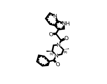 C[C@@H]1CN(C(=O)c2ccccc2)[C@@H](C)CN1C(=O)C(=O)c1c[nH]c2ncccc12